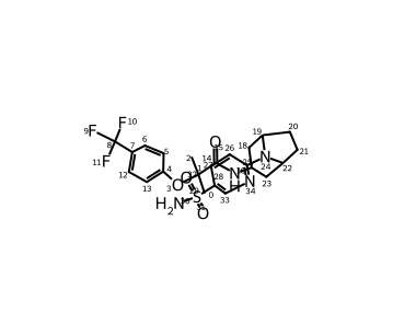 CC(C)(Oc1ccc(C(F)(F)F)cc1)C(=O)NC1CC2CCC(C1)N2c1ccc(S(N)(=O)=O)cn1